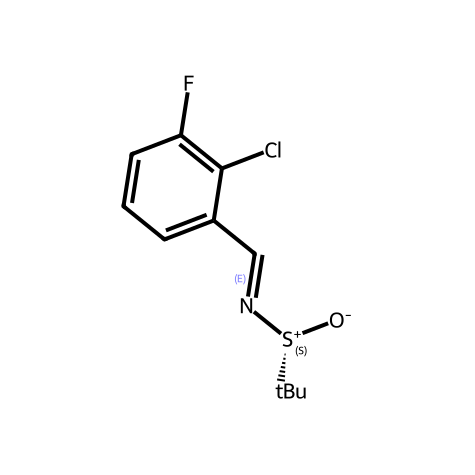 CC(C)(C)[S@@+]([O-])/N=C/c1cccc(F)c1Cl